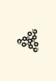 c1ccc(-n2c3ccc(-c4cccnc4)cc3c3c2c2c4cc(-c5cccnc5)ccc4n(-c4ccccc4)c2c2c4cc(-c5cccnc5)ccc4n(-c4ccccc4)c32)cc1